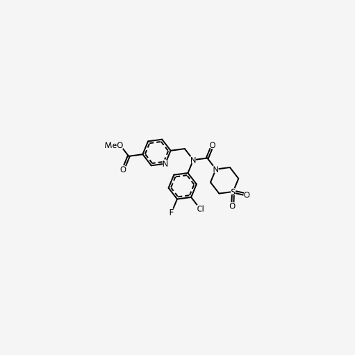 COC(=O)c1ccc(CN(C(=O)N2CCS(=O)(=O)CC2)c2ccc(F)c(Cl)c2)nc1